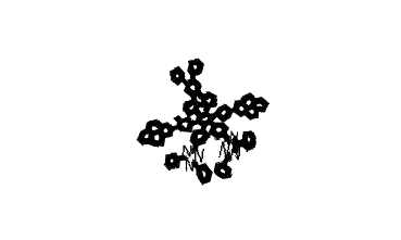 CC1CC(c2c(-c3ccc(-c4nc(-c5ccccc5)nc(-c5ccccc5)n4)cc3)c(-c3ccc(-c4nc(-c5ccccc5)nc(-c5ccccc5)n4)cc3)c(-c3ccc(-c4cc5ccc6cccc7ccc(c4)c5c67)cc3)c3c4cccc5c6cc(-c7ccccc7)c(-c7ccccc7)cc6c6cccc(c23)c6c54)=CC=C1c1cc2ccc3cccc4ccc(c1)c2c34